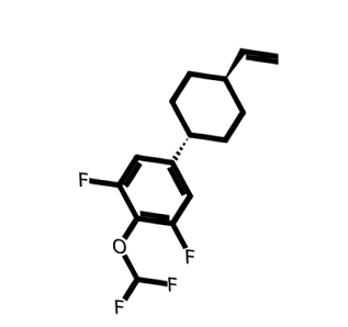 C=C[C@H]1CC[C@H](c2cc(F)c(OC(F)F)c(F)c2)CC1